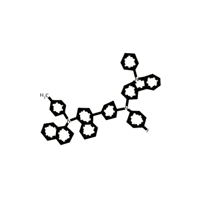 Cc1ccc(N(c2cccc3ccccc23)c2ccc(-c3ccc(N(c4ccc(F)cc4)c4ccc5c(c4)c4ccccc4n5-c4ccccc4)cc3)c3ccccc23)cc1